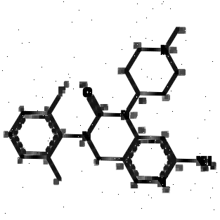 Cc1cccc(F)c1N1Cc2cnc(N)cc2N(C2CCN(C)CC2)C1=O